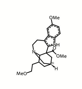 COCCC1C[C@@H]2CN3CCc4c([nH]c5ccc(OC)cc45)C(C(=O)OC)(C2)C13